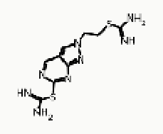 N=C(N)SCCn1cc2cnc(SC(=N)N)nc2n1